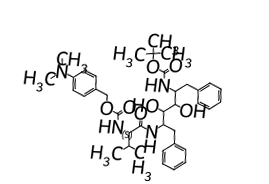 CC(C)[C@H](NC(=O)OCc1ccc(N(C)C)cc1)C(=O)NC(Cc1ccccc1)C(O)C(O)C(Cc1ccccc1)NC(=O)OC(C)(C)C